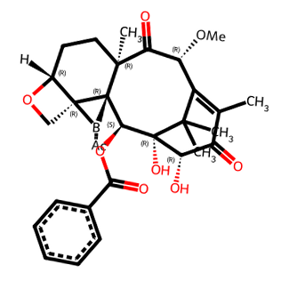 CO[C@H]1C(=O)[C@]2(C)CC[C@H]3OC[C@]34B(C(C)=O)[C@]24[C@H](OC(=O)c2ccccc2)[C@]2(O)[C@@H](O)C(=O)C(C)=C1C2(C)C